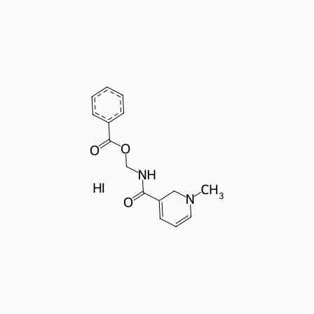 CN1C=CC=C(C(=O)NCOC(=O)c2ccccc2)C1.I